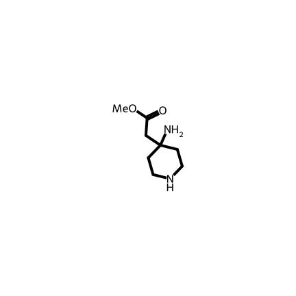 COC(=O)CC1(N)CCNCC1